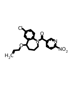 C=CCOC1CCCN(C(=O)c2ccc([N+](=O)[O-])nc2)c2ccc(Cl)cc21